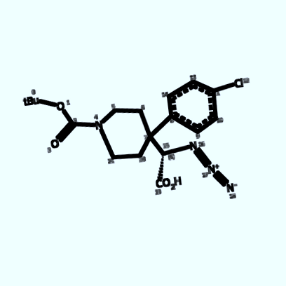 CC(C)(C)OC(=O)N1CCC(c2ccc(Cl)cc2)([C@H](N=[N+]=[N-])C(=O)O)CC1